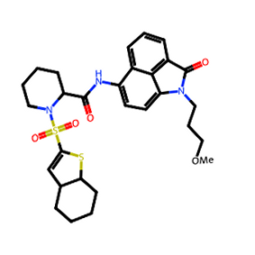 COCCCN1C(=O)c2cccc3c(NC(=O)C4CCCCN4S(=O)(=O)C4=CC5CCCCC5S4)ccc1c23